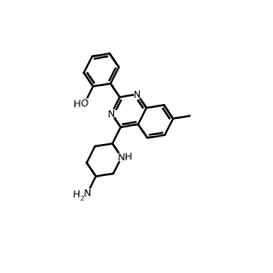 Cc1ccc2c(C3CCC(N)CN3)nc(-c3ccccc3O)nc2c1